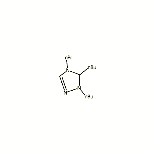 CCCCC1N(CCC)C=NN1CCCC